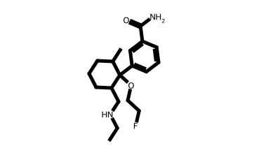 CCNCC1CCCC(C)C1(OCCF)c1cccc(C(N)=O)c1